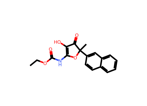 CCOC(=O)NC1=C(O)C(=O)C(C)(c2ccc3ccccc3c2)O1